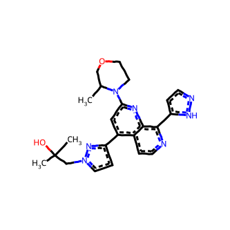 CC1COCCN1c1cc(-c2ccn(CC(C)(C)O)n2)c2ccnc(-c3ccn[nH]3)c2n1